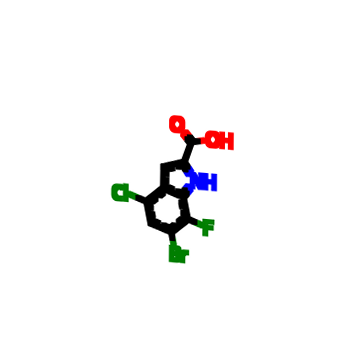 O=C(O)c1cc2c(Cl)cc(Br)c(F)c2[nH]1